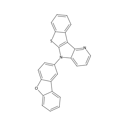 c1ccc2c(c1)oc1ccc(-n3c4cccnc4c4c5ccccc5sc43)cc12